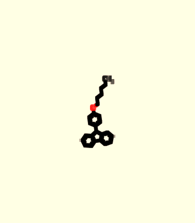 CCCCCCOc1ccc(C2c3c[c]ccc3-c3cc[c]cc32)cc1